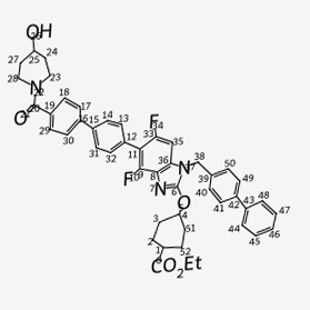 CCOC(=O)C1CCC(Oc2nc3c(F)c(-c4ccc(-c5ccc(C(=O)N6CCC(O)CC6)cc5)cc4)c(F)cc3n2Cc2ccc(-c3ccccc3)cc2)CC1